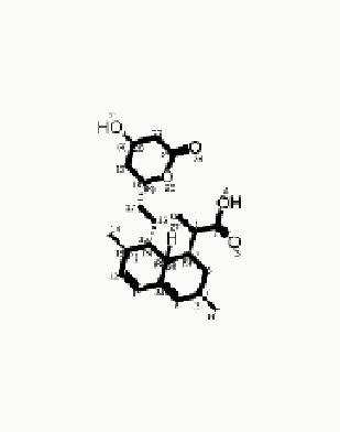 CC(C(=O)O)[C@H]1C[C@@H](C)C=C2C=C[C@@H](C)[C@H](CC[C@@H]3C[C@@H](O)CC(=O)O3)[C@@H]21